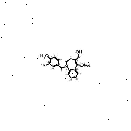 COC1=C(CO)CCN(Cc2ccc(C)c(F)c2)c2ccccc21